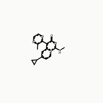 CNc1nc(=O)c(-c2nccnc2C)c2cc(C3CC3)ccn12